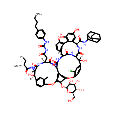 CNCCCc1ccc(NC(=O)NC(=O)C[C@@H]2NC(=O)[C@H](NC(=O)[C@@H](CC(C)C)NC)[C@H](O)c3ccc(c(C)c3)Oc3cc4cc(c3O[C@@H]3O[C@H](CO)[C@@H](O)[C@H](O)[C@H]3O)Oc3ccc(cc3Cl)[C@@H](O)[C@@H]3NC(=O)[C@H](NC(=O)[C@@H]4NC2=O)c2ccc(O)c(c2)-c2c(O)cc(O)cc2[C@@H](C(=O)NC2C4CC5CC(C4)CC2C5)NC3=O)cc1